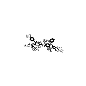 CCCCC1(CCCC)CN(c2ccccc2)c2cc(SC)c(OCC(=O)N[C@@H](C(=O)N[C@](C=O)(CC)CO)c3ccc(O)cc3)cc2S(=O)(=O)N1